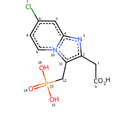 O=C(O)Cc1nc2cc(Cl)ccn2c1CP(=O)(O)O